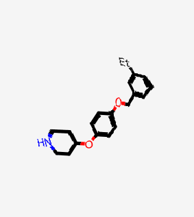 CCc1cccc(COc2ccc(OC3CCNCC3)cc2)c1